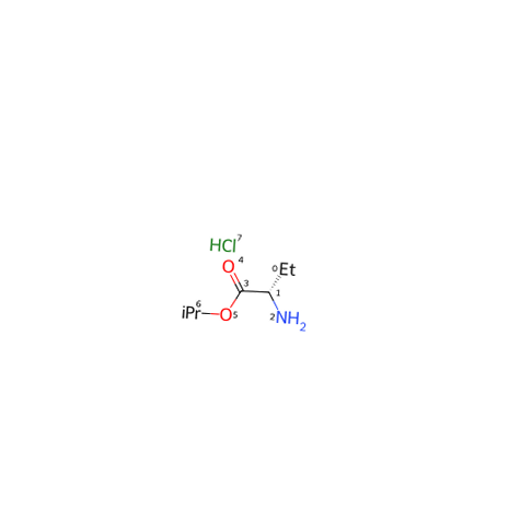 CC[C@H](N)C(=O)OC(C)C.Cl